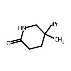 CC(C)C1(C)CCC(=O)NC1